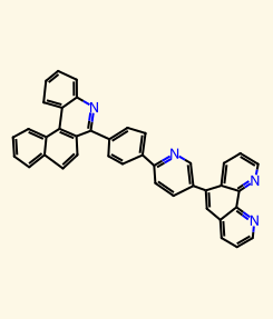 c1ccc2c(c1)ccc1c(-c3ccc(-c4ccc(-c5cc6cccnc6c6ncccc56)cn4)cc3)nc3ccccc3c12